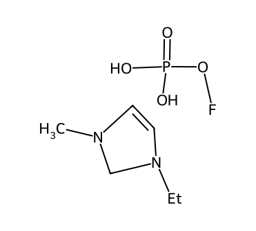 CCN1C=CN(C)C1.O=P(O)(O)OF